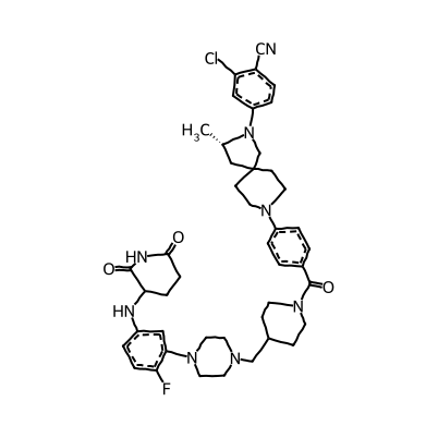 C[C@H]1CC2(CCN(c3ccc(C(=O)N4CCC(CN5CCN(c6cc(NC7CCC(=O)NC7=O)ccc6F)CC5)CC4)cc3)CC2)CN1c1ccc(C#N)c(Cl)c1